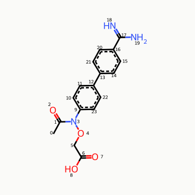 CC(=O)N(OCC(=O)O)c1ccc(-c2ccc(C(=N)N)cc2)cc1